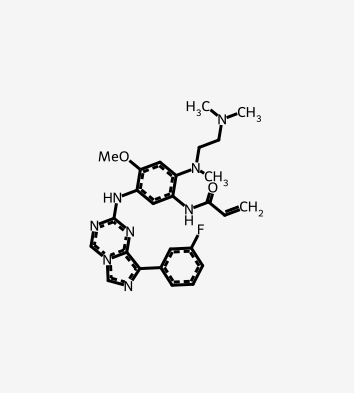 C=CC(=O)Nc1cc(Nc2ncn3cnc(-c4cccc(F)c4)c3n2)c(OC)cc1N(C)CCN(C)C